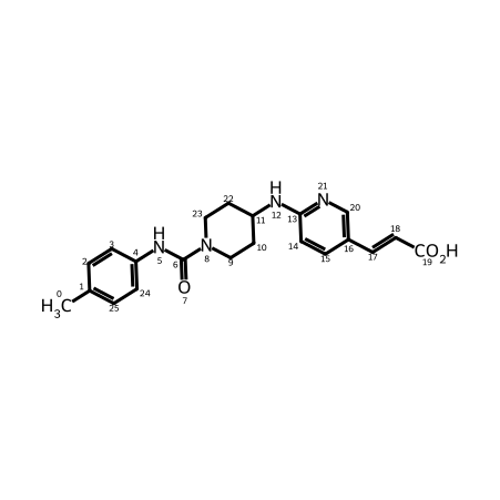 Cc1ccc(NC(=O)N2CCC(Nc3ccc(/C=C/C(=O)O)cn3)CC2)cc1